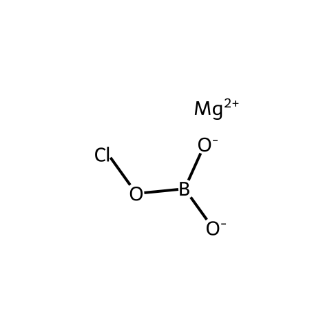 [Mg+2].[O-]B([O-])OCl